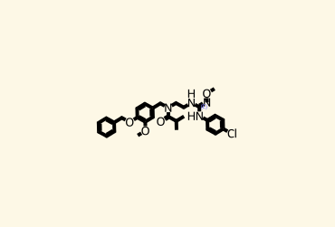 CO/N=C(\NCCN(Cc1ccc(OCc2ccccc2)c(OC)c1)C(=O)C(C)C)Nc1ccc(Cl)cc1